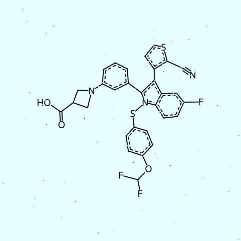 N#Cc1sccc1-c1c(-c2cccc(N3CC(C(=O)O)C3)c2)n(Sc2ccc(OC(F)F)cc2)c2ccc(F)cc12